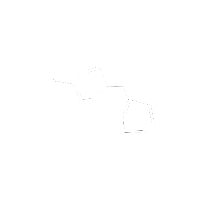 Nc1ccc(Cc2ccccc2)cc1Br